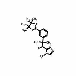 Cn1cnnc1C(F)C(C)(C)c1cccc(B2OC(C)(C)C(C)(C)O2)c1